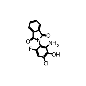 Nc1c(O)c(Cl)cc(F)c1N1C(=O)c2ccccc2C1=O